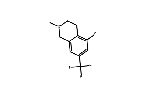 CN1CCc2c(F)cc(C(F)(F)F)cc2C1